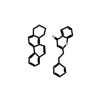 O=c1cc(CCc2ccccc2)oc2ccccc12.c1ccc2c(c1)ccc1c3c(ccc12)CCCC3